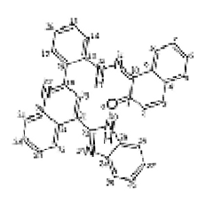 O=C1C=Cc2ccccc2C1=NNc1ccccc1-c1cc(-c2nc3ccccc3[nH]2)c2ccccc2n1